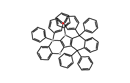 c1ccc(-n2c3c(c4c2[Si](c2ccccc2)(c2ccccc2)c2ccccc2O4)C(c2ccccc2)(c2ccccc2)c2ccccc2C3(c2ccccc2)c2ccccc2)cc1